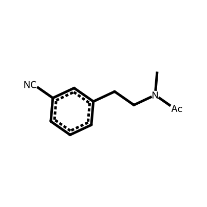 CC(=O)N(C)CCc1cccc(C#N)c1